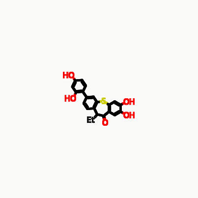 CCC1C(=O)c2cc(O)c(O)cc2Sc2cc(-c3ccc(O)cc3O)ccc21